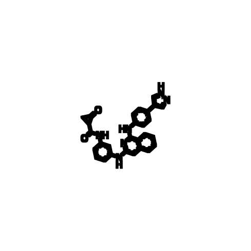 O=C1CC1C(=O)Nc1cccc(Nc2cc3ccccc3c(Nc3ccc(-c4cn[nH]c4)cc3)n2)c1